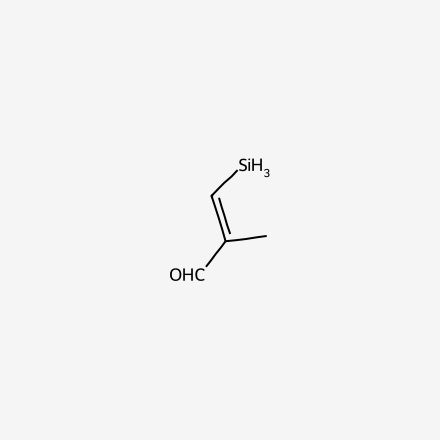 CC(C=O)=C[SiH3]